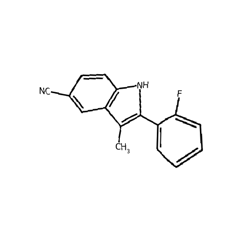 Cc1c(-c2ccccc2F)[nH]c2ccc(C#N)cc12